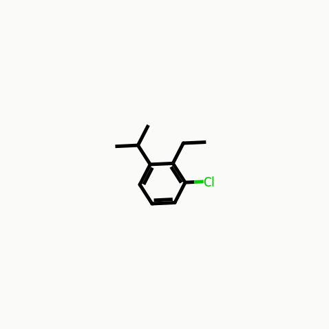 CCc1c(Cl)cccc1C(C)C